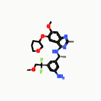 COCC(F)(F)c1cc(N)cc([C@@H](C)Nc2nc(C)nc3cc(OC)c(OC4CCCOC4)cc23)c1